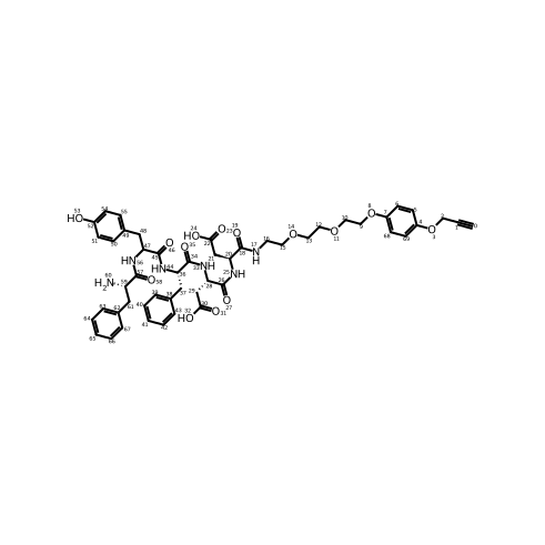 C#CCOc1ccc(OCCOCCOCCNC(=O)[C@H](CC(=O)O)NC(=O)[C@H](CC(=O)O)NC(=O)[C@H](Cc2ccccc2)NC(=O)C(Cc2ccc(O)cc2)NC(=O)[C@@H](N)Cc2ccccc2)cc1